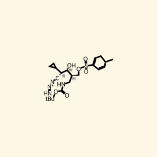 CC1C=CC(S(=O)(=O)OC[C@@H](CNC(=O)OC(C)(C)C)[C@H](O)[C@H](CN=[N+]=N)C2CC2)=CC1